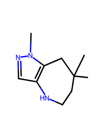 Cn1ncc2c1CC(C)(C)CCN2